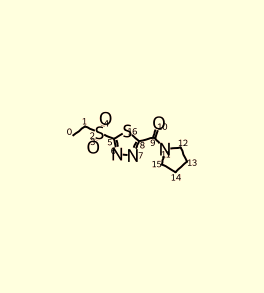 CCS(=O)(=O)c1nnc(C(=O)N2CCCC2)s1